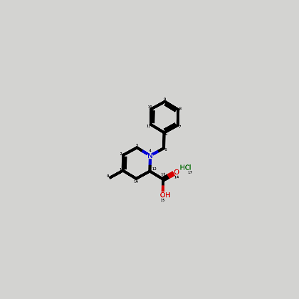 CC1=CCN(Cc2ccccc2)C(C(=O)O)C1.Cl